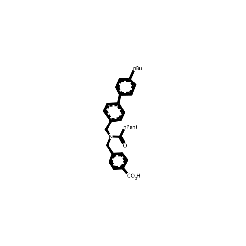 CCCCCC(=O)N(Cc1ccc(C(=O)O)cc1)Cc1ccc(-c2ccc(CCCC)cc2)cc1